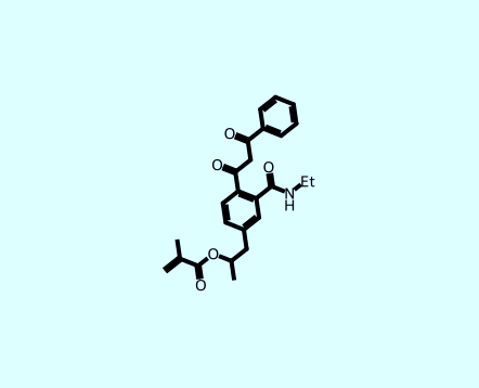 C=C(C)C(=O)OC(C)Cc1ccc(C(=O)CC(=O)c2ccccc2)c(C(=O)NCC)c1